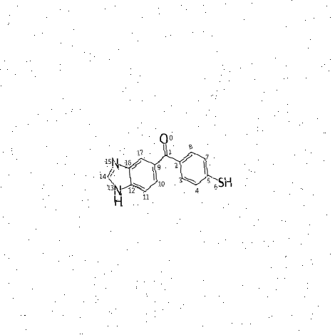 O=C(c1ccc(S)cc1)c1ccc2[nH]cnc2c1